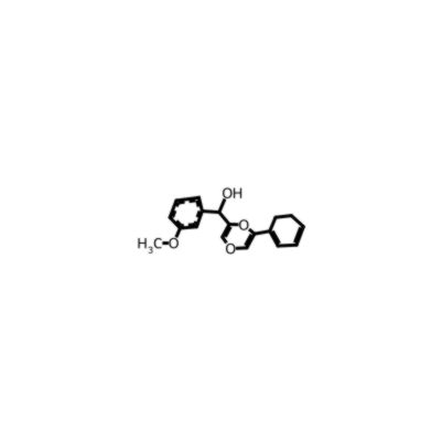 COc1cccc(C(O)C2=COC=C(C3=CC=CCC3)O2)c1